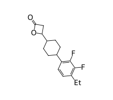 CCc1ccc(C2CCC(C3CC(=O)O3)CC2)c(F)c1F